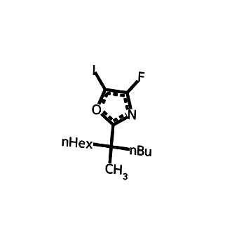 CCCCCCC(C)(CCCC)c1nc(F)c(I)o1